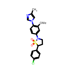 COc1cc(N2CCC(c3ccc(Cl)cc3)S2(=O)=O)ccc1-n1cnc(C)c1